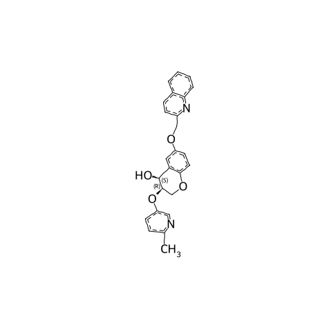 Cc1ccc(O[C@@H]2COc3ccc(OCc4ccc5ccccc5n4)cc3[C@@H]2O)cn1